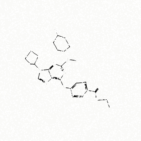 CCOC(=O)c1ccc(Nc2nc(N(C)[C@H]3CC[C@H](N)CC3)nc3c2ncn3C2CCCC2)cc1